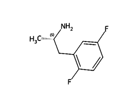 C[C@H](N)Cc1cc(F)ccc1F